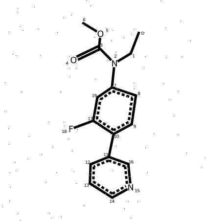 CCN(C(=O)OC)c1ccc(-c2cccnc2)c(F)c1